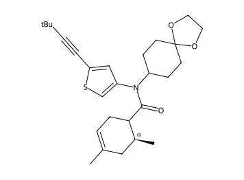 CC1=CCC(C(=O)N(c2csc(C#CC(C)(C)C)c2)C2CCC3(CC2)OCCO3)[C@@H](C)C1